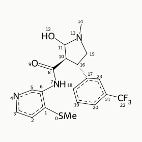 CSc1ccncc1NC(=O)[C@H]1C(O)N(C)C[C@@H]1c1cccc(C(F)(F)F)c1